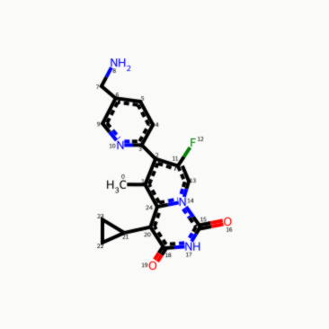 Cc1c(-c2ccc(CN)cn2)c(F)cn2c(=O)[nH]c(=O)c(C3CC3)c12